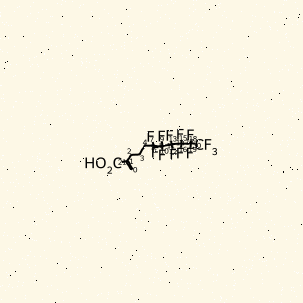 C=C(CCCC(F)(F)C(F)(F)C(F)(F)C(F)(F)C(F)(F)C(F)(F)F)C(=O)O